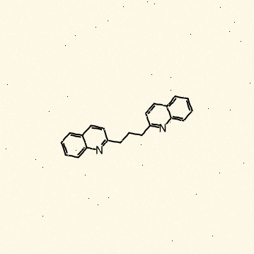 c1ccc2nc(CCCc3ccc4ccccc4n3)ccc2c1